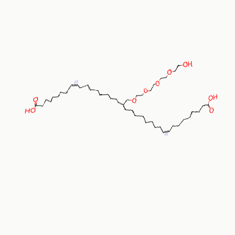 O=C(O)CCCCCCC/C=C\CCCCCCCCCC(CCCCCCCC/C=C\CCCCCCCC(=O)O)COCCOCCOCCOCCO